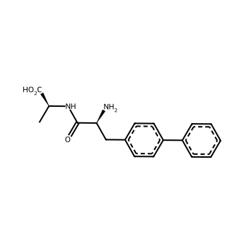 C[C@H](NC(=O)[C@@H](N)Cc1ccc(-c2ccccc2)cc1)C(=O)O